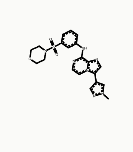 Cn1cc(-c2cnc3c(Nc4cccc(S(=O)(=O)N5CCOCC5)c4)nccn23)cn1